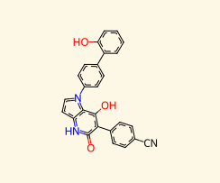 N#Cc1ccc(-c2c(O)c3c(ccn3-c3ccc(-c4ccccc4O)cc3)[nH]c2=O)cc1